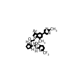 CC(=O)c1cn(CC(=O)N2[C@H]3CC[C@H](C3)[C@H]2C(=O)Nc2nc(C(F)(F)F)ccc2C)c2c(C)cc(-c3cnc(C)nc3)cc12